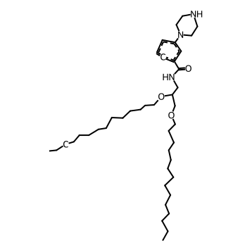 CCCCCCCCCCCCCCOCC(CNC(=O)c1cccc(N2CCNCC2)c1)OCCCCCCCCCCCCCC